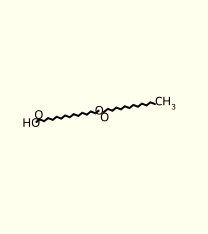 CCCCCCCCCCCCCC(=O)OCCCCCCCCCCCCCC(=O)O